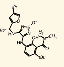 CC[C@@H](Nc1n[s+]([O-])nc1Nc1ccc(C(C)(C)C)c(C(=O)N(C)C)c1O)c1cc(C(C)C)co1